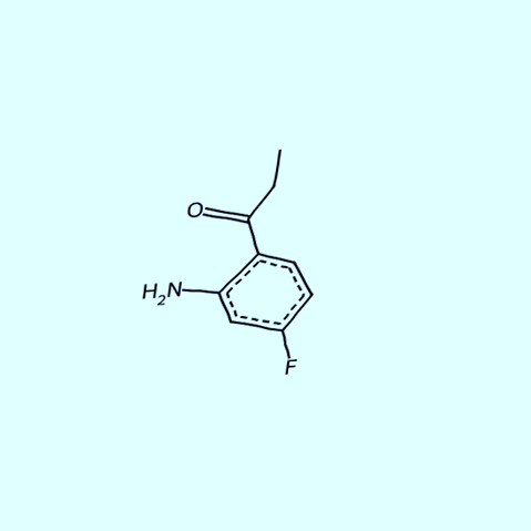 CCC(=O)c1ccc(F)cc1N